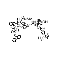 CNC(=O)CC[C@H](NC(=O)[C@@H]1Cc2cccc3c2N1C(=O)[C@@H](NC(=O)OCC1c2ccccc2-c2ccccc21)CC3)[C@@H](C)OCc1ccc(CCCCC(=O)N[C@H](C(=O)N2C[C@H](O)C[C@H]2C(=O)NCc2ccc(-c3scnc3C)cc2)C(C)(C)C)cc1